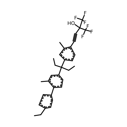 CCc1ccc(-c2ccc(C(CC)(CC)c3ccc(C#CC(O)(C(F)(F)F)C(F)(F)F)c(C)c3)cc2C)cc1